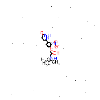 CC(C)(C)NCC(O)COc1ccc(C2=NNC(=O)CC2)cc1[N+](=O)[O-]